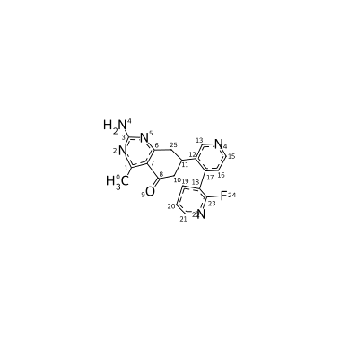 Cc1nc(N)nc2c1C(=O)CC(c1cnccc1-c1cccnc1F)C2